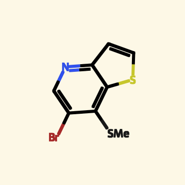 CSc1c(Br)cnc2ccsc12